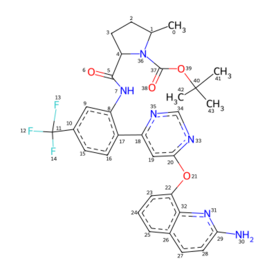 CC1CCC(C(=O)Nc2cc(C(F)(F)F)ccc2-c2cc(Oc3cccc4ccc(N)nc34)ncn2)N1C(=O)OC(C)(C)C